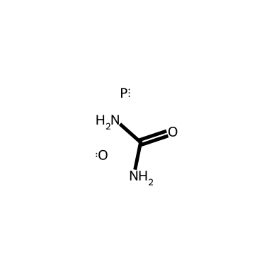 NC(N)=O.[O].[P]